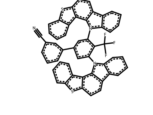 N#Cc1cccc(-c2cc(-n3c4ccccc4c4ccc5sc6ccccc6c5c43)c(C(F)(F)F)c(-n3c4ccccc4c4ccc5sc6ccccc6c5c43)c2)c1